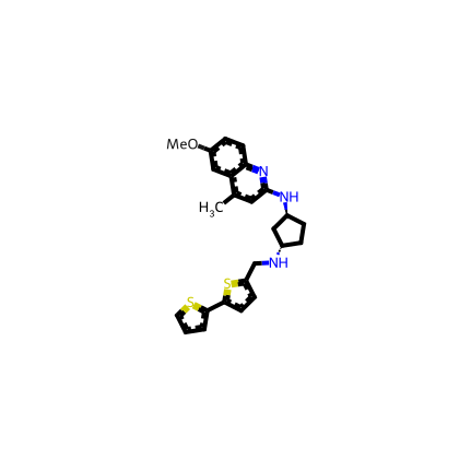 COc1ccc2nc(N[C@H]3CC[C@H](NCc4ccc(-c5cccs5)s4)C3)cc(C)c2c1